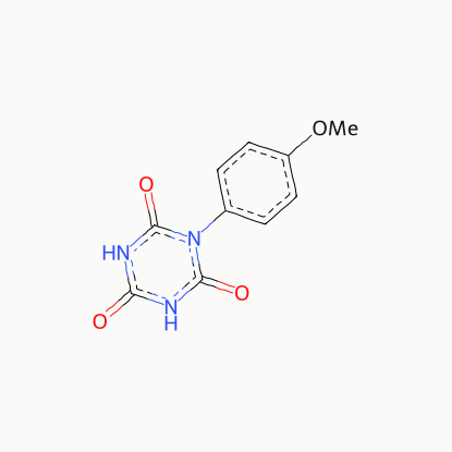 COc1ccc(-n2c(=O)[nH]c(=O)[nH]c2=O)cc1